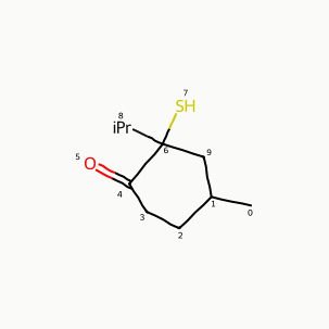 CC1CCC(=O)C(S)(C(C)C)C1